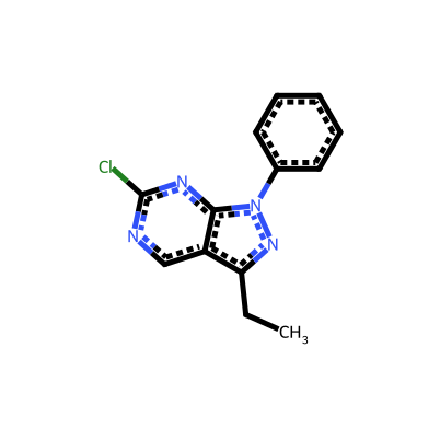 CCc1nn(-c2ccccc2)c2nc(Cl)ncc12